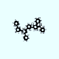 c1ccc(-c2cccc(-c3nc(-c4ccccc4)cc(-c4ccc5oc6c(ccc7c(-c8ccccc8)nc8ccccc8c76)c5c4)n3)c2)cc1